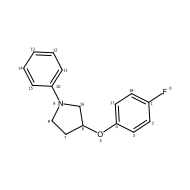 Fc1ccc(OC2CCN(c3ccccc3)C2)cc1